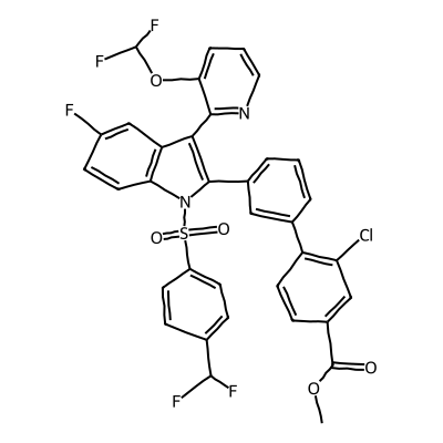 COC(=O)c1ccc(-c2cccc(-c3c(-c4ncccc4OC(F)F)c4cc(F)ccc4n3S(=O)(=O)c3ccc(C(F)F)cc3)c2)c(Cl)c1